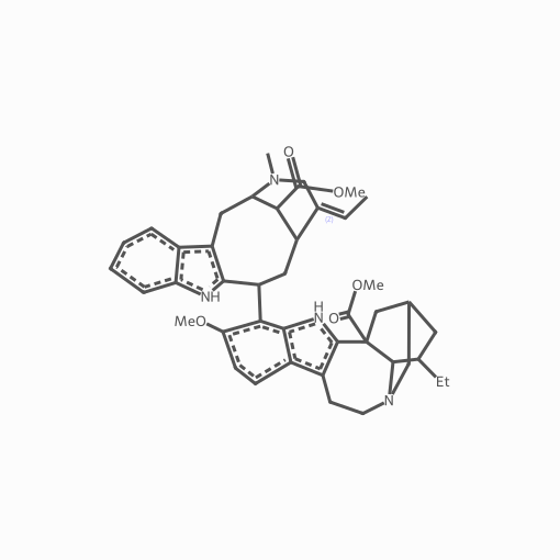 C/C=C1\CN(C)C2Cc3c([nH]c4ccccc34)C(c3c(OC)ccc4c5c([nH]c34)C3(C(=O)OC)CC4CC(CC)C3N(CC5)C4)CC1C2C(=O)OC